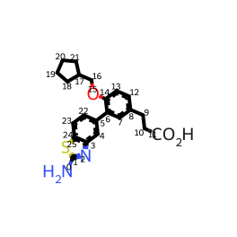 Nc1nc2cc(-c3cc(CCC(=O)O)ccc3OCC3CCCC3)ccc2s1